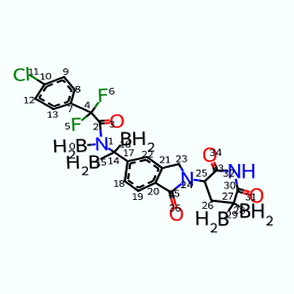 BN(C(=O)C(F)(F)c1ccc(Cl)cc1)C(B)(B)c1ccc2c(c1)CN(C1CC(B)(B)C(=O)NC1=O)C2=O